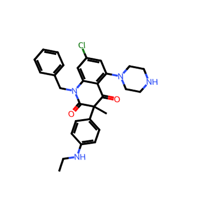 CCNc1ccc(C2(C)C(=O)c3c(N4CCNCC4)cc(Cl)cc3N(Cc3ccccc3)C2=O)cc1